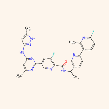 Cc1cc(Nc2cc(C)[nH]n2)nc(-c2cnc(C(=O)NC(C)c3ccc(-c4ccc(F)nc4C)nc3)c(F)c2)n1